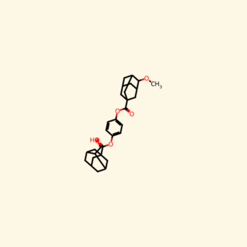 COC1C2CC3CC1CC(C(=O)Oc1ccc(OC(=O)C45CC6CC(C4)C(CO)C(C6)C5)cc1)(C3)C2